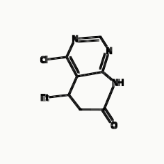 CCC1CC(=O)Nc2ncnc(Cl)c21